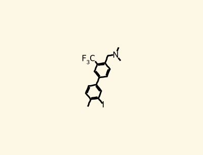 Cc1ccc(-c2ccc(CN(C)C)c(C(F)(F)F)c2)cc1I